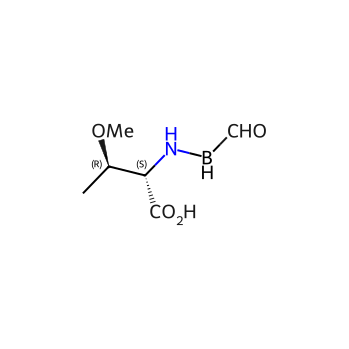 CO[C@H](C)[C@H](NBC=O)C(=O)O